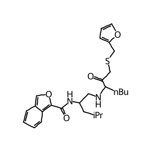 CCCCC(NCC(CC(C)C)NC(=O)c1occ2ccccc12)C(=O)CSCc1ccco1